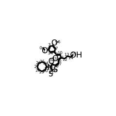 COc1cc(OC)cc(-c2cc(CCCO)c(/C=C3/SC(=S)N(C4CCCCCCC4)C3=O)o2)c1